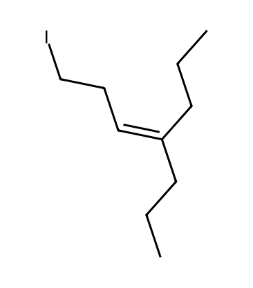 CCCC(=CCCI)CCC